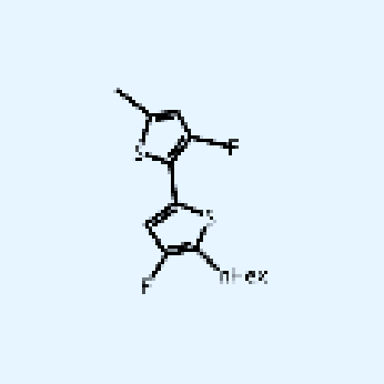 CCCCCCc1sc(-c2sc(C)cc2F)cc1F